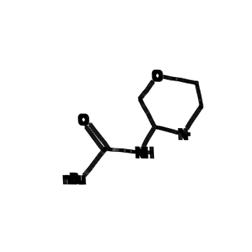 CCCCC(=O)NC1COCC[N]1